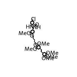 COc1cc(C2NC(=O)c3cc(Cl)ccc3N2)ccc1OCCCCCOc1c(OC)cc(C=Cc2cc(OC)c(OC)c(OC)c2)cc1OC